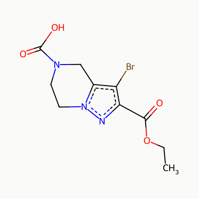 CCOC(=O)c1nn2c(c1Br)CN(C(=O)O)CC2